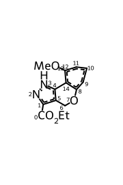 CCOC(=O)c1n[nH]c2c1COc1cccc(OC)c1-2